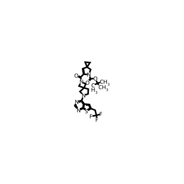 CC(C)(C)OC(=O)N1CC2(C=C1C(=O)N1CC3(CCN(c4ncnc5sc(CC(F)(F)F)cc45)C3)C1)CC2